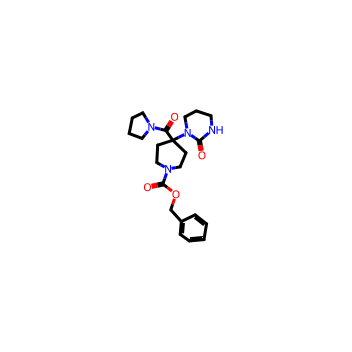 O=C(OCc1ccccc1)N1CCC(C(=O)N2CCCC2)(N2CCCNC2=O)CC1